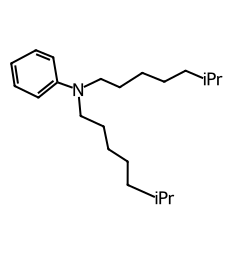 CC(C)CCCCCN(CCCCCC(C)C)c1ccccc1